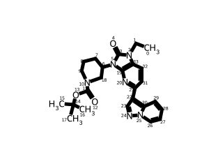 CCn1c(=O)n(C2CCCN(C(=O)OC(C)(C)C)C2)c2nc(-c3cnn4ccccc34)ccc21